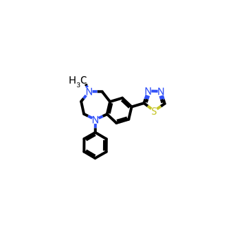 CN1CCN(c2ccccc2)c2ccc(-c3nncs3)cc2C1